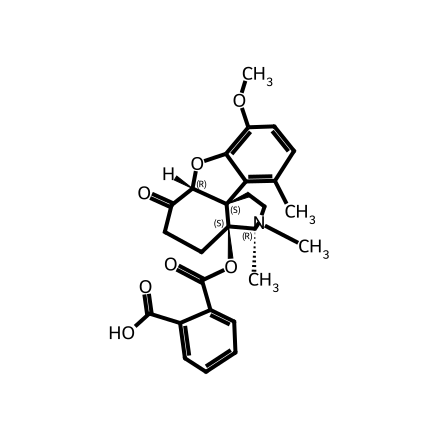 COc1ccc(C)c2c1O[C@H]1C(=O)CC[C@@]3(OC(=O)c4ccccc4C(=O)O)[C@@H](C)N(C)CC[C@]213